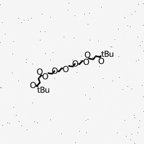 CC(C)(C)C(=O)CCC(=O)OCCOCCOCCOCCOC(=O)CCC(=O)C(C)(C)C